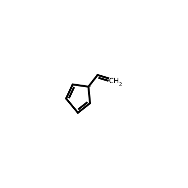 C=C[C]1C=CC=C1